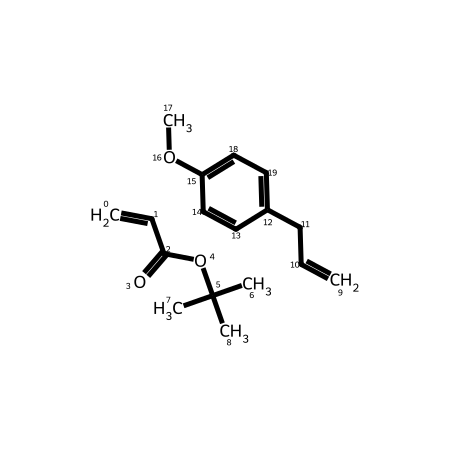 C=CC(=O)OC(C)(C)C.C=CCc1ccc(OC)cc1